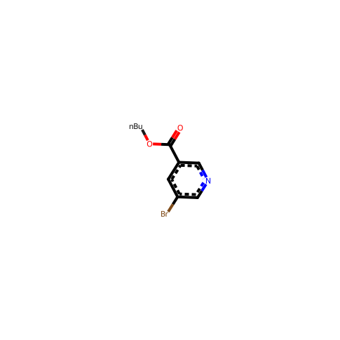 CCCCOC(=O)c1cncc(Br)c1